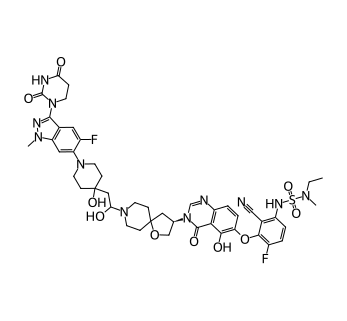 CCN(C)S(=O)(=O)Nc1ccc(F)c(Oc2ccc3ncn([C@H]4COC5(CCN(C(O)CC6(O)CCN(c7cc8c(cc7F)c(N7CCC(=O)NC7=O)nn8C)CC6)CC5)C4)c(=O)c3c2O)c1C#N